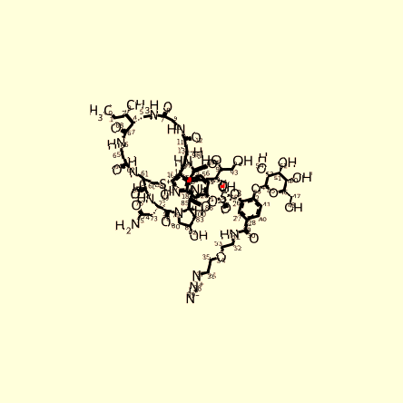 CC[C@H](C)[C@@H]1CNC(=O)CNC(=O)[C@@H]2Cc3c([nH]c4cc(OS(=O)(=O)Oc5cc(C(=O)NCCOCCN=[N+]=[N-])ccc5O[C@@H]5O[C@H](CO)[C@H](O)[C@H](O)[C@H]5O)ccc34)[S+]([O-])C[C@H](NC(=O)CNC1=O)C(=O)N[C@@H](CC(N)=O)C(=O)N1C[C@H](O)C[C@H]1C(=O)N[C@@H]([C@@H](C)[C@@H](O)CO)C(=O)N2